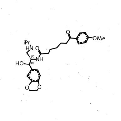 COc1ccc(C(=O)CCCCCC(=O)N[C@H](CNC(C)C)[C@H](O)c2ccc3c(c2)OCCO3)cc1